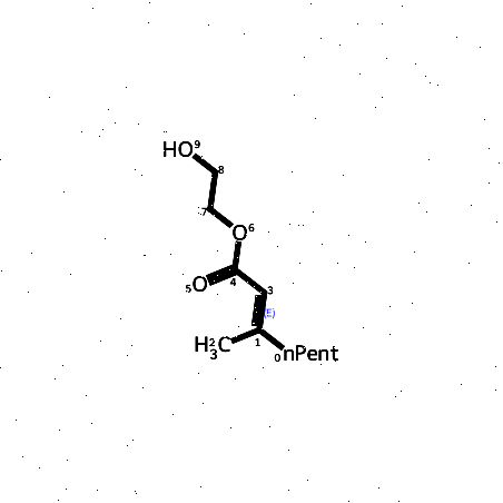 CCCCC/C(C)=C/C(=O)OCCO